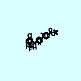 C[C@H]1CN(C(=O)OC(C)(C)C)CCN1c1ccc(Nc2cc(Cl)cnc2C(F)(F)F)nc1